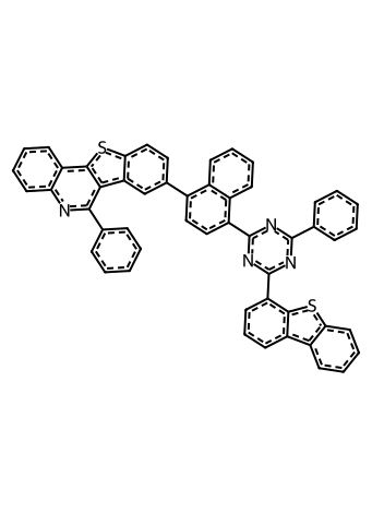 c1ccc(-c2nc(-c3ccc(-c4ccc5sc6c7ccccc7nc(-c7ccccc7)c6c5c4)c4ccccc34)nc(-c3cccc4c3sc3ccccc34)n2)cc1